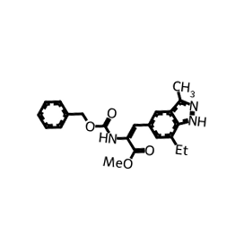 CCc1cc(/C=C(/NC(=O)OCc2ccccc2)C(=O)OC)cc2c(C)n[nH]c12